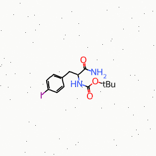 CC(C)(C)OC(=O)NC(Cc1ccc(I)cc1)C(N)=O